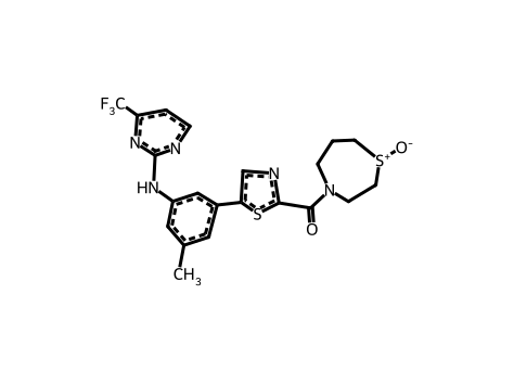 Cc1cc(Nc2nccc(C(F)(F)F)n2)cc(-c2cnc(C(=O)N3CCC[S+]([O-])CC3)s2)c1